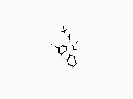 CC(NC(=O)OC(C)(C)C)C(=O)Nc1ccc(F)cc1Nc1cccc(F)c1